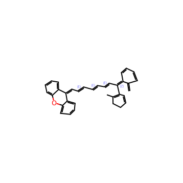 C=c1cccc\c1=C(/C=C/C=C/C=C/C=C1c2ccccc2Oc2ccccc21)C1=C(C)CCC=C1